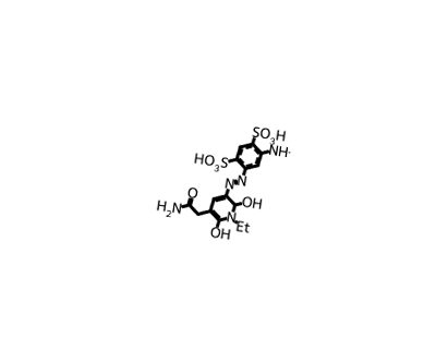 CCN1C(O)=C(CC(N)=O)C=C(N=Nc2cc([NH])c(S(=O)(=O)O)cc2S(=O)(=O)O)C1O